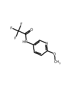 COc1ccc(NC(=O)C(F)(F)F)cn1